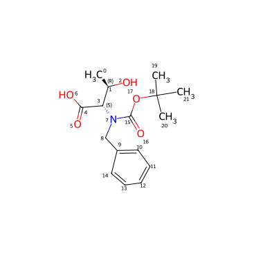 C[C@@H](O)[C@@H](C(=O)O)N(Cc1ccccc1)C(=O)OC(C)(C)C